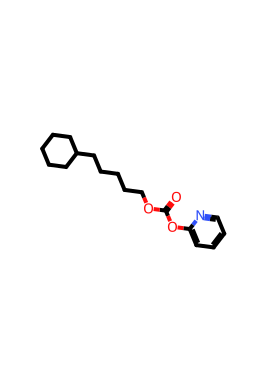 O=C(OCCCCCC1CCCCC1)Oc1ccccn1